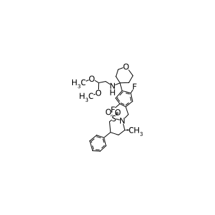 COC(CNC1(c2cc(F)c(CN3[C@@H](C)CC(c4ccccc4)CS3(=O)=O)cc2F)CCOCC1)OC